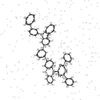 c1ccc(-c2cccc(-n3c4ccccc4c4ccc(-c5cccc(-c6ccc7c(c6)Sc6ccccc6N7c6nc(-c7ccccc7)nc(-c7ccccc7)n6)c5)cc43)c2)cc1